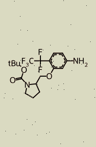 CC(C)(C)OC(=O)N1CCCC1COc1cc(N)ccc1C(F)(F)C(F)(F)F